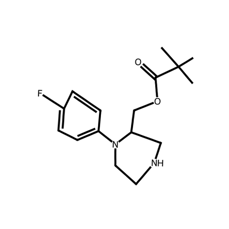 CC(C)(C)C(=O)OCC1CNCCN1c1ccc(F)cc1